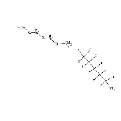 FC(F)(F)C(F)(F)C(F)(F)C(F)(F)C(F)(F)C(F)(F)CC[SiH2]O[SiH2]O[SiH2]O[SiH3]